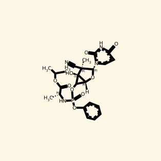 CC(C)OC(=O)[C@@H](C)NP(=O)(Oc1ccccc1)OC1[C@H]2O[C@@H](n3ccc(=O)[nH]c3=O)[C@](C)(C#N)[C@@]12O